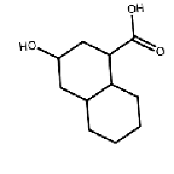 O=C(O)C1CC(O)CC2CCCCC21